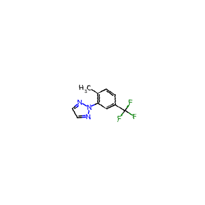 Cc1ccc(C(F)(F)F)cc1-n1nccn1